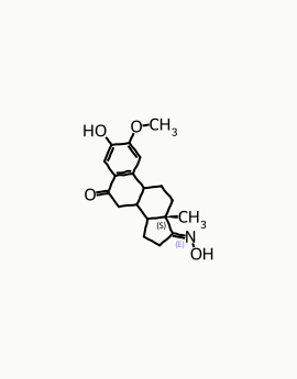 COc1cc2c(cc1O)C(=O)CC1C2CC[C@]2(C)/C(=N/O)CCC12